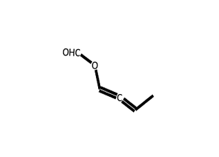 CC=C=COC=O